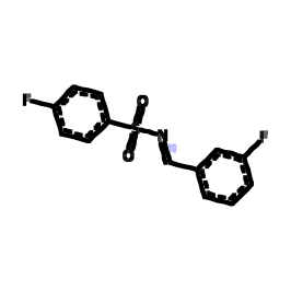 O=S(=O)(/N=C/c1cccc(F)c1)c1ccc(F)cc1